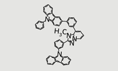 CN1C(c2cccc(-n3c4ccccc4c4ccccc43)c2)=NN2C=CC=C(c3cccc(-c4ccc5c(c4)c4ccccc4n5-c4ccccc4)c3)C21